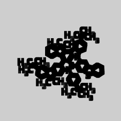 CC(C)(C)c1ccc(N2B3c4cc5sc6ccccc6c5cc4-n4c5ccc(C(C)(C)C)cc5c5c6c(c(c3c54)-c3cc4c(cc32)C(C)(C)c2ccc(C(C)(C)C)cc2-4)-c2ccccc2C6(C)C)cc1